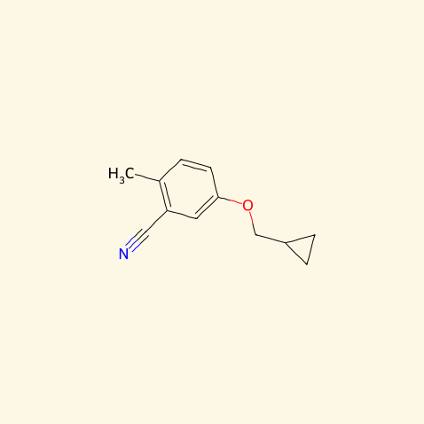 Cc1ccc(OCC2CC2)cc1C#N